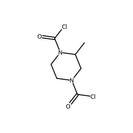 CC1CN(C(=O)Cl)CCN1C(=O)Cl